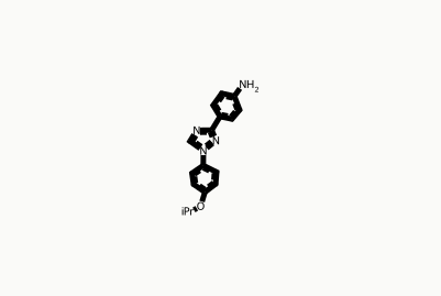 CC(C)Oc1ccc(-n2cnc(-c3ccc(N)cc3)n2)cc1